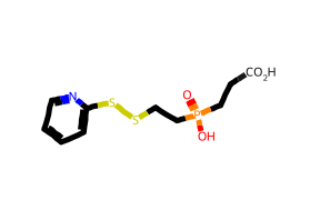 O=C(O)CCP(=O)(O)CCSSc1ccccn1